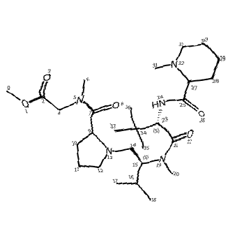 COC(=O)CN(C)C(=O)C1CCCN1C[C@H](C(C)C)N(C)C(=O)[C@@H](NC(=O)C1CCCCN1C)C(C)(C)C